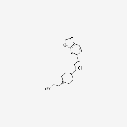 CC(C)CCN1CCC(CCOc2ccc3c(c2)OCO3)CC1.Cl